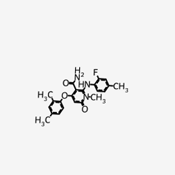 Cc1ccc(Oc2cc(=O)n(C)c(Nc3ccc(C)cc3F)c2C(N)=O)c(C)c1